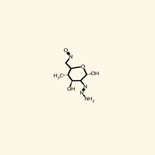 C[C@@H]1C(CN=O)O[C@H](O)C(N=NN)[C@H]1O